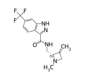 C=C1CN(C)[C@@H]1CNC(=O)c1n[nH]c2cc(C(F)(F)F)ccc12